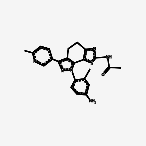 CC(=O)Nc1nc2c(s1)-c1c(c(-c3ccc(C)nc3)nn1-c1ccc(N)cc1C)CC2